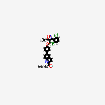 CCC(C)C1ON=C(c2c(Cl)cccc2Cl)C1COc1ccc(-c2ccc3nc(C(=O)OC)ccc3c2)cc1